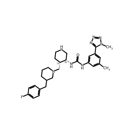 Cc1cc(NC(=O)N[C@H]2CNCC[C@H]2CN2CCCC(Cc3ccc(F)cc3)C2)cc(-c2nnnn2C)c1